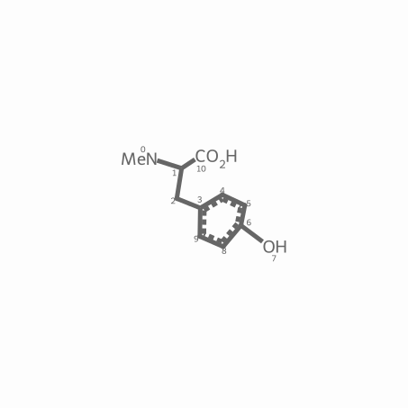 CNC(Cc1ccc(O)cc1)C(=O)O